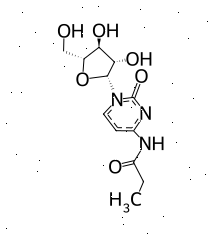 CCC(=O)Nc1ccn([C@@H]2O[C@H](CO)[C@@H](O)[C@@H]2O)c(=O)n1